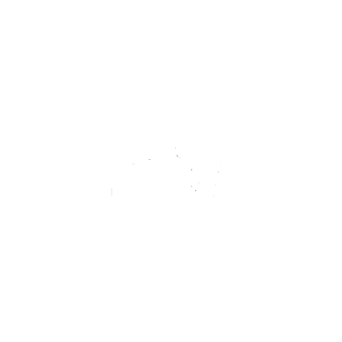 CC(C)(C)C(=O)N[C@@H](Cc1ccc(O)cc1)C(=O)O